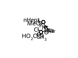 CCCCCCCC(OC)c1cccc(-c2csc(C(=O)c3cc(Cl)c(C=C(C)C(=O)O)c(Cl)c3)n2)c1F.[Na].[Na]